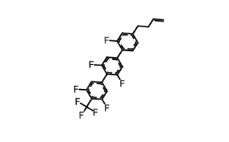 C=CCCc1ccc(-c2cc(F)c(-c3cc(F)c(C(F)(F)F)c(F)c3)c(F)c2)c(F)c1